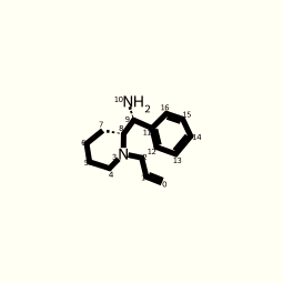 C=CCN1CCCC[C@@H]1[C@H](N)c1ccccc1